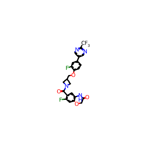 O=C1COc2cc(F)c(C(=O)N3CC(COc4ccc(-c5cnc(C(F)(F)F)nc5)cc4F)C3)cc2N1